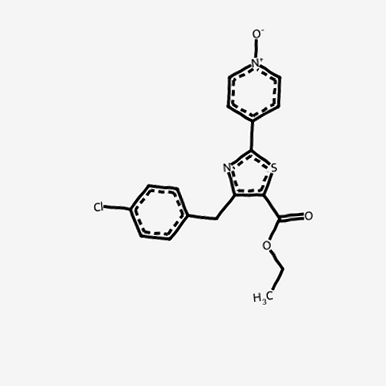 CCOC(=O)c1sc(-c2cc[n+]([O-])cc2)nc1Cc1ccc(Cl)cc1